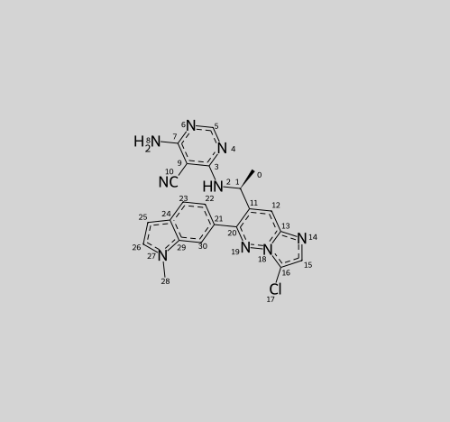 C[C@H](Nc1ncnc(N)c1C#N)c1cc2ncc(Cl)n2nc1-c1ccc2ccn(C)c2c1